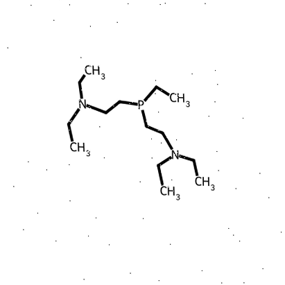 CCN(CC)CCP(CC)CCN(CC)CC